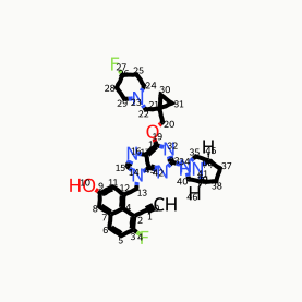 C#Cc1c(F)ccc2cc(O)cc(Cn3cnc4c(OCC5(CN6CCC(F)CC6)CC5)nc(N5C[C@H]6CC[C@@H](C5)N6)nc43)c12